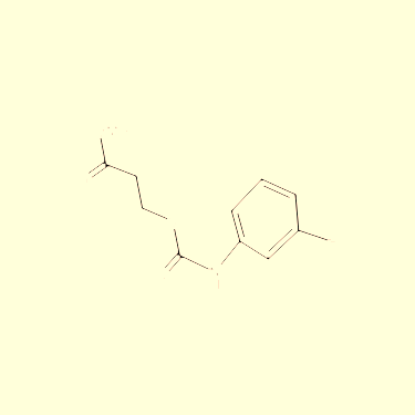 COC(=O)CCSC(=S)Nc1cccc(F)c1